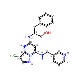 OC[C@H](Cc1ccccc1)Nc1cc(NCc2cccnc2)n2ncc(Br)c2n1